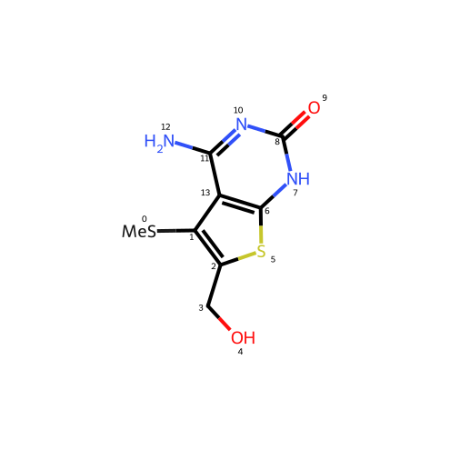 CSc1c(CO)sc2[nH]c(=O)nc(N)c12